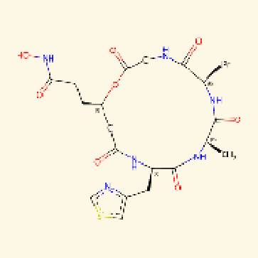 CC(C)[C@H]1NC(=O)[C@@H](C)NC(=O)[C@@H](Cc2cscn2)NC(=O)C[C@@H](CCC(=O)NO)OC(=O)CNC1=O